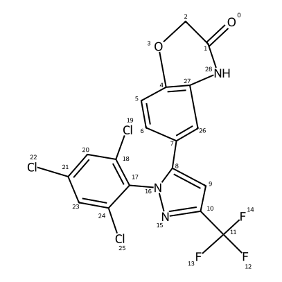 O=C1COc2ccc(-c3cc(C(F)(F)F)nn3-c3c(Cl)cc(Cl)cc3Cl)cc2N1